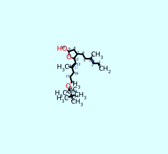 C=C/C=C(\C)CCC1CC(O)OC1/C=C(\C)CCCO[Si](C)(C)C(C)(C)C